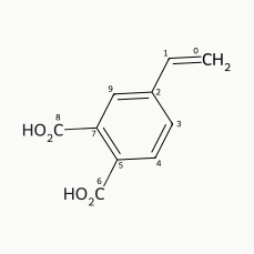 C=Cc1ccc(C(=O)O)c(C(=O)O)c1